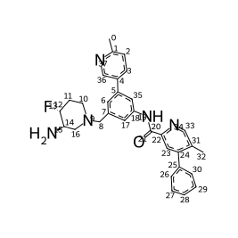 Cc1ccc(-c2cc(CN3CC[C@@H](F)[C@H](N)C3)cc(NC(=O)c3cc(-c4ccccc4)c(C)cn3)c2)cn1